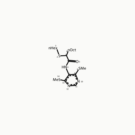 CCCCCCCCC(SCCCCCC)C(=O)Nc1c(SC)ncnc1SC